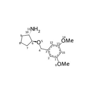 COc1cc(CO[C@H]2CCC[C@@H]2N)cc(OC)c1